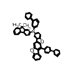 CC1(C)c2ccccc2-c2ccc(N(c3cccc(-c4ccccc4)c3)c3ccc4oc5c(-c6ccc(-c7ccccc7)cc6)c6c(cc5c4c3)oc3ccccc36)cc21